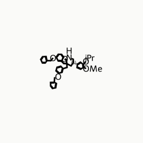 COc1ccc([C@H]2CNC(=O)C(Cc3cccc(OCc4ccccc4)c3)(Cc3cccc(OCc4ccccc4)c3)C2)cc1OC(C)C